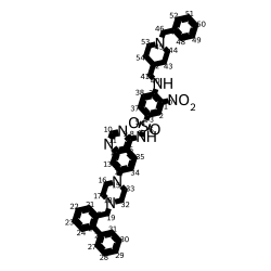 O=[N+]([O-])c1cc(S(=O)(=O)Nc2ncnc3cc(N4CCN(Cc5ccccc5-c5ccccc5)CC4)ccc23)ccc1NCC1CCN(Cc2ccccc2)CC1